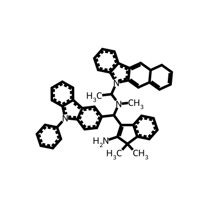 CC(N(C)C(C1=C(N)C(C)(C)c2ccccc21)c1ccc2c(c1)c1ccccc1n2-c1ccccc1)n1c2c(c3ccccc31)=CC1CC=CC=C1C=2